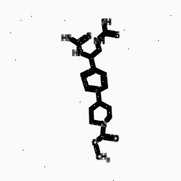 COC(=O)N1CCC(c2ccc(C(CNC(=S)S)NC(=S)S)cc2)CC1